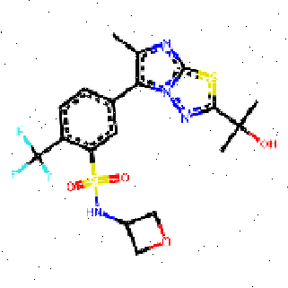 Cc1nc2sc(C(C)(C)O)nn2c1-c1ccc(C(F)(F)F)c(S(=O)(=O)NC2COC2)c1